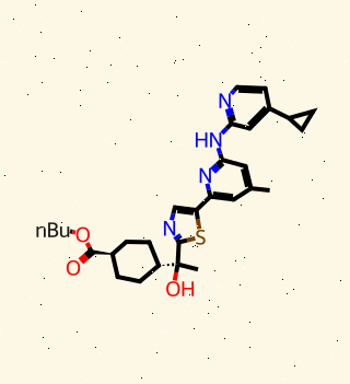 CCCCOC(=O)[C@H]1CC[C@H](C(C)(O)c2ncc(-c3cc(C)cc(Nc4cc(C5CC5)ccn4)n3)s2)CC1